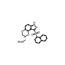 CNC[C@@H]1COc2ccc3[nH]nc(S(=O)(=O)c4cccc5ccccc45)c3c2O1